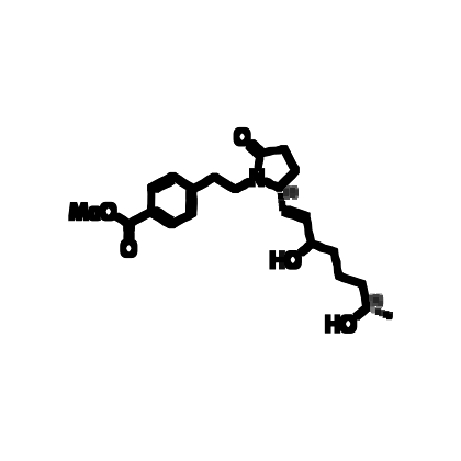 COC(=O)c1ccc(CCN2C(=O)CC[C@@H]2C=CC(O)CCC[C@H](C)O)cc1